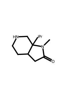 CC(C)C12CNCCC1CC(=O)N2C